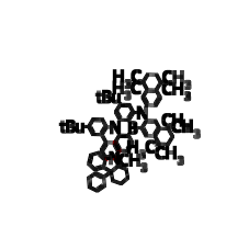 CC(C)(C)c1ccc(N2c3cc(N4c5ccccc5C5(c6ccccc6)CCCCC45C)ccc3B3c4cc5c(cc4N(c4ccc6c(c4)C(C)(C)CCC6(C)C)c4cc(C(C)(C)C)cc2c43)C(C)(C)CCC5(C)C)c(-c2ccccc2)c1